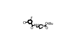 CC(C)(C)OC(=O)N1CCC(CNC(=O)c2cc(F)cc(Cl)c2)CC1